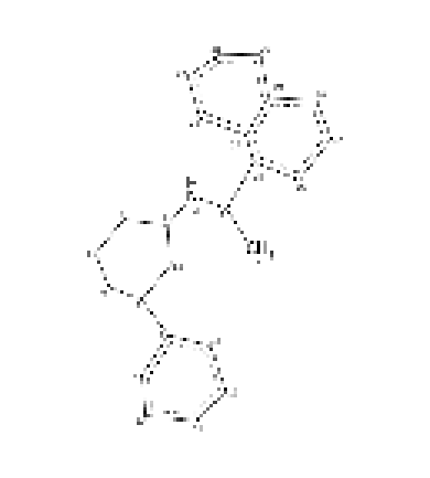 CC(NC1CCCC(c2ccccc2)C1)c1cccc2ccccc12